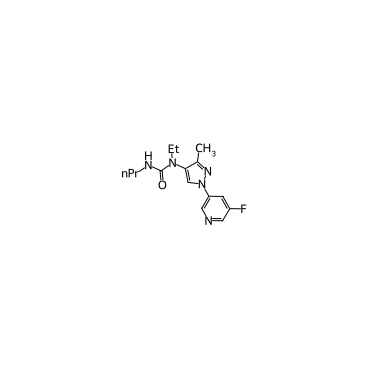 CCCNC(=O)N(CC)c1cn(-c2cncc(F)c2)nc1C